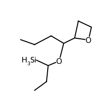 CCCC(OC([SiH3])CC)C1CCO1